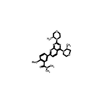 COc1ccc(-c2ccc3c(N4CCOC[C@@H]4C)nc(N4CCOC[C@@H]4C)nc3n2)cc1C(=O)N(C)C